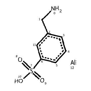 NCc1cccc(S(=O)(=O)O)c1.[Al]